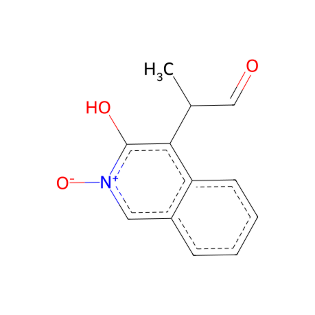 CC(C=O)c1c(O)[n+]([O-])cc2ccccc12